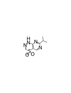 CC(C)c1ncc2c(n1)NN=CS2(=O)=O